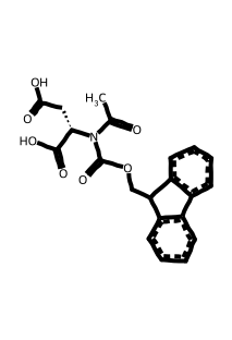 CC(=O)N(C(=O)OCC1c2ccccc2-c2ccccc21)[C@@H](CC(=O)O)C(=O)O